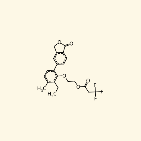 CCc1c(C)ccc(-c2ccc3c(c2)COC3=O)c1OCCOC(=O)CC(F)(F)F